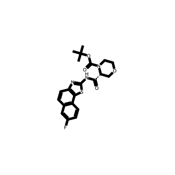 CC(C)(C)OC(=O)N1CCOC[C@@H]1C(=O)Nc1nc2ccc3cc(F)ccc3c2s1